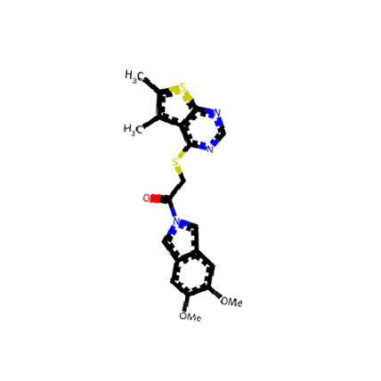 COc1cc2cn(C(=O)CSc3ncnc4sc(C)c(C)c34)cc2cc1OC